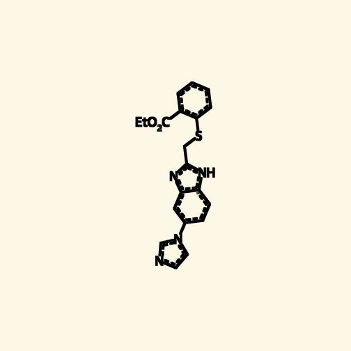 CCOC(=O)c1ccccc1SCc1nc2cc(-n3ccnc3)ccc2[nH]1